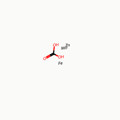 O=C(O)O.[Fe].[Mn].[Zn]